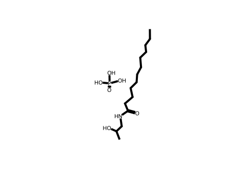 CCCCCCCCCCCC(=O)NCC(C)O.O=P(O)(O)O